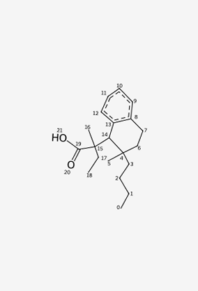 CCCCC1(C)CCc2ccccc2C1C(C)(CC)C(=O)O